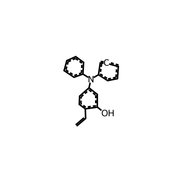 C=Cc1ccc(N(c2ccccc2)c2ccccc2)cc1O